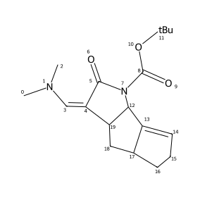 CN(C)C=C1C(=O)N(C(=O)OC(C)(C)C)C2C3=CCCC3CC12